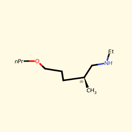 CCCOCCC[C@H](C)CNCC